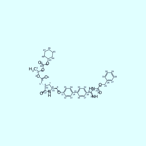 CC(OC(=O)C[C@@H]1C[C@@H](COc2ccc(-c3ccc(C(=N)NC(=O)OCc4ccccc4)cc3)cc2)NC1=O)OC(=O)OC1CCCCC1